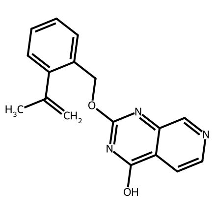 C=C(C)c1ccccc1COc1nc(O)c2ccncc2n1